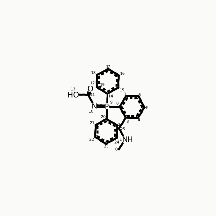 CNCc1ccccc1P(=NC(=O)O)(c1ccccc1)c1ccccc1